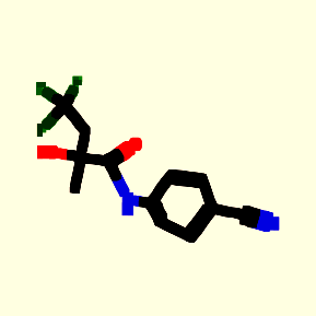 CC(O)(CC(F)(F)F)C(=O)Nc1ccc(C#N)cc1